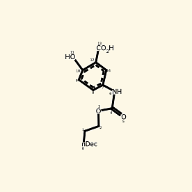 CCCCCCCCCCCCOC(=O)Nc1ccc(O)c(C(=O)O)c1